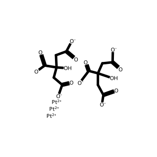 O=C([O-])CC(O)(CC(=O)[O-])C(=O)[O-].O=C([O-])CC(O)(CC(=O)[O-])C(=O)[O-].[Pt+2].[Pt+2].[Pt+2]